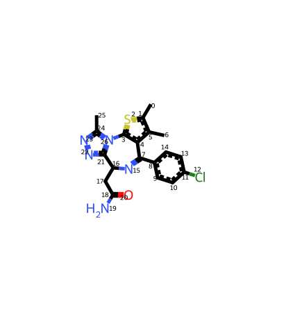 Cc1sc2c(c1C)C(c1ccc(Cl)cc1)=NC(CC(N)=O)c1nnc(C)n1-2